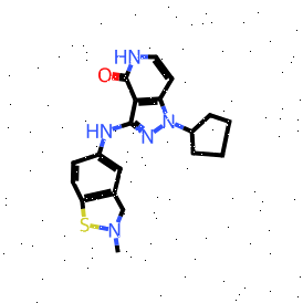 CN1Cc2cc(Nc3nn(C4CCCC4)c4cc[nH]c(=O)c34)ccc2S1